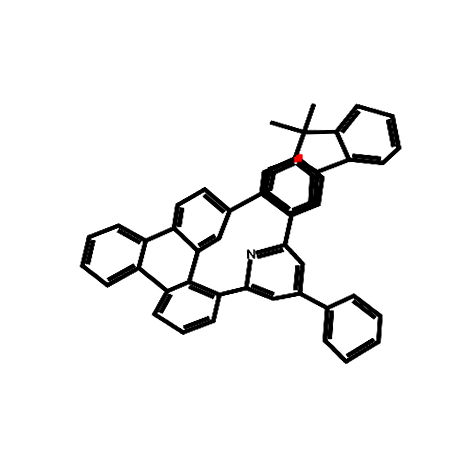 CC1(C)c2ccccc2-c2ccc(-c3ccc4c5ccccc5c5cccc(-c6cc(-c7ccccc7)cc(-c7ccccc7)n6)c5c4c3)cc21